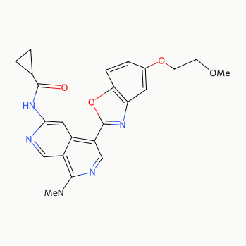 CNc1ncc(-c2nc3cc(OCCOC)ccc3o2)c2cc(NC(=O)C3CC3)ncc12